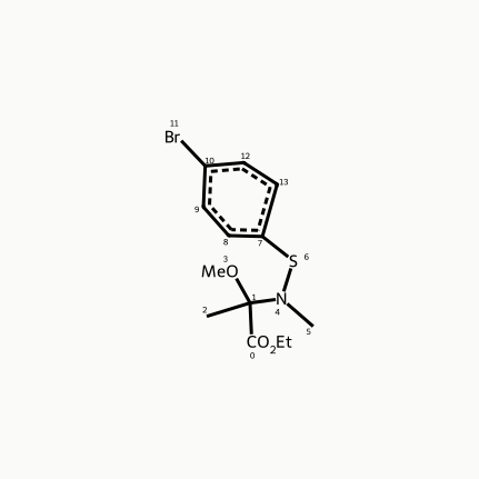 CCOC(=O)C(C)(OC)N(C)Sc1ccc(Br)cc1